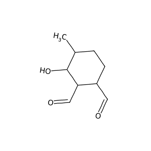 CC1CCC(C=O)C(C=O)C1O